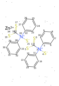 S=C([S-])[N+]([S-])(c1ccccc1)c1ccccc1.S=C([S-])[N+]([S-])(c1ccccc1)c1ccccc1.[Zn+2]